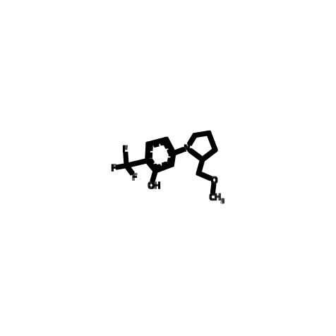 COCC1CCCN1c1ccc(C(F)(F)F)c(O)c1